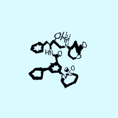 O=C1CC(NC[C@@H](O)[C@H](Cc2ccccc2)NC(=O)c2cc(C3CCCC3)cc(N3CCCCS3(=O)=O)c2)CCO1